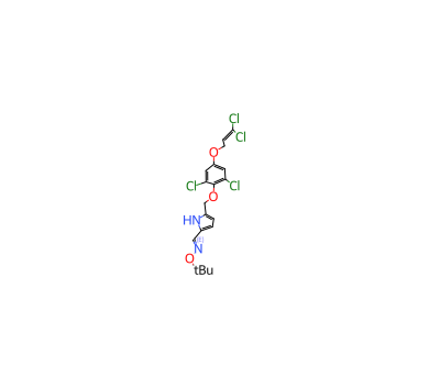 CC(C)(C)O/N=C/c1ccc(COc2c(Cl)cc(OCC=C(Cl)Cl)cc2Cl)[nH]1